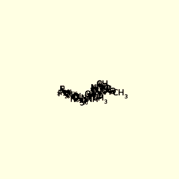 COCC(=O)Cn1c(=O)c2c(ncn2C(C)C(=O)Nc2csc(-c3ccc(N4CC5C(C4)C5(F)F)nc3)n2)n(C)c1=O